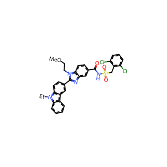 CCn1c2ccccc2c2cc(-c3nc4cc(C(=O)NS(=O)(=O)Cc5c(Cl)cccc5Cl)ccc4n3CCOC)ccc21